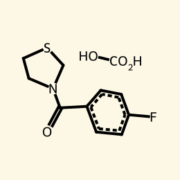 O=C(O)O.O=C(c1ccc(F)cc1)N1CCSC1